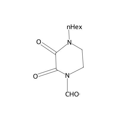 CCCCCCN1CCN([C]=O)C(=O)C1=O